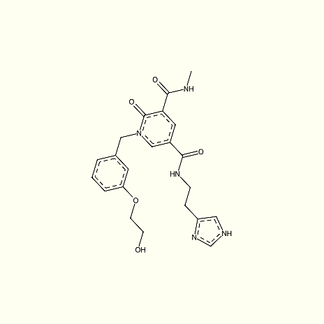 CNC(=O)c1cc(C(=O)NCCc2c[nH]cn2)cn(Cc2cccc(OCCO)c2)c1=O